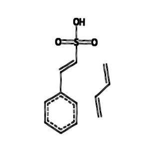 C=CC=C.O=S(=O)(O)C=Cc1ccccc1